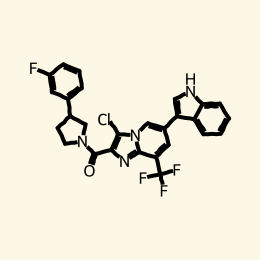 O=C(c1nc2c(C(F)(F)F)cc(-c3c[nH]c4ccccc34)cn2c1Cl)N1CCC(c2cccc(F)c2)C1